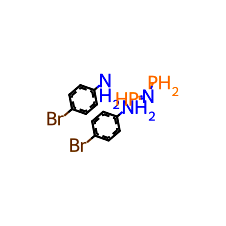 Nc1ccc(Br)cc1.Nc1ccc(Br)cc1.P=NP